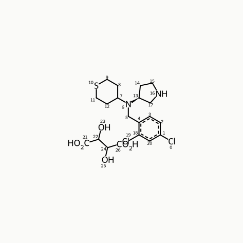 Clc1ccc(CN(C2CCSCC2)[C@H]2CCNC2)c(Cl)c1.O=C(O)C(O)C(O)C(=O)O